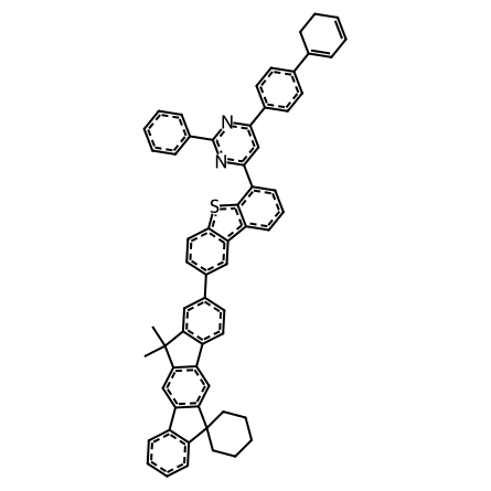 CC1(C)c2cc(-c3ccc4sc5c(-c6cc(-c7ccc(C8=CC=CCC8)cc7)nc(-c7ccccc7)n6)cccc5c4c3)ccc2-c2cc3c(cc21)-c1ccccc1C31CCCCC1